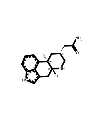 NC(=O)C[C@@H]1CN[C@@H]2Cc3c[nH]c4cccc(c34)[C@H]2C1